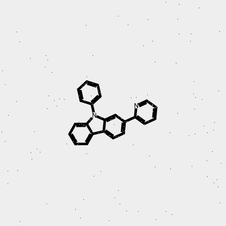 c1ccc(-n2c3ccccc3c3ccc(-c4ccccn4)cc32)cc1